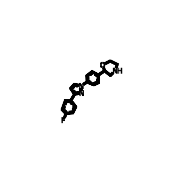 Fc1ccc(-c2ccn(-c3ccc(C4CNCCO4)cc3)n2)cc1